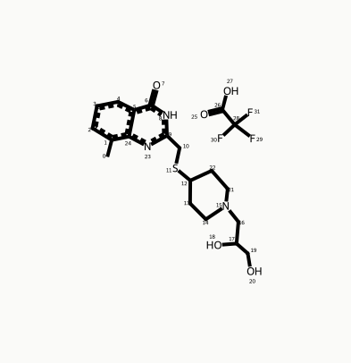 Cc1cccc2c(=O)[nH]c(CSC3CCN(CC(O)CO)CC3)nc12.O=C(O)C(F)(F)F